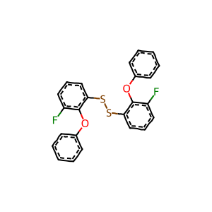 Fc1cccc(SSc2cccc(F)c2Oc2ccccc2)c1Oc1ccccc1